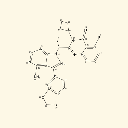 CC(c1nc2cccc(F)c2c(=O)n1C1CCC1)n1nc(-c2ccc3c(c2)OCO3)c2c(N)ncnc21